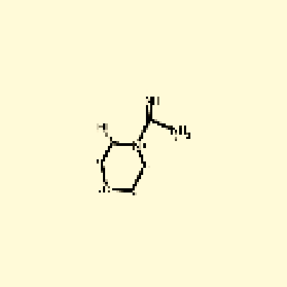 I.N=C(N)N1CCOCC1